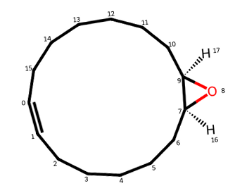 C1=CCCCCC[C@@H]2O[C@@H]2CCCCCC1